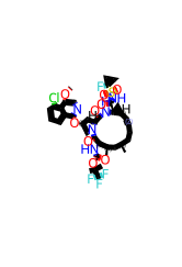 COc1cnc(O[C@@H]2C[C@H]3C(=O)N[C@]4(C(=O)NS(=O)(=O)C5(F)CC5)C[C@@H]4/C=C\CC[C@@H](C)C[C@@H](C)[C@H](NC(=O)OC(C)(C)C(F)(F)F)C(=O)N3C2)c2cccc(Cl)c12